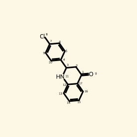 O=C1CC(c2ccc(Cl)cc2)Nc2ccccc21